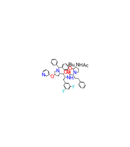 CC[C@@H](C)[C@@]1(NC(C)=O)CCN([C@@H](CCc2ccccc2)C(=O)N[C@@H](Cc2cc(F)cc(F)c2)[C@H](O)[C@H]2C[C@@H](Oc3cccnc3)CN2C(c2ccccc2)c2ccccc2)C1=O